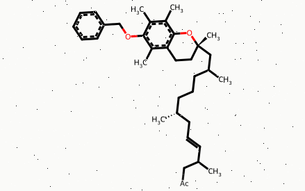 CC(=O)CC(C)C=CC[C@H](C)CCCC(C)C[C@]1(C)CCc2c(C)c(OCc3ccccc3)c(C)c(C)c2O1